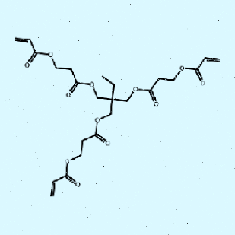 C=CC(=O)OCCC(=O)OCC(CC)(COC(=O)CCOC(=O)C=C)COC(=O)CCOC(=O)C=C